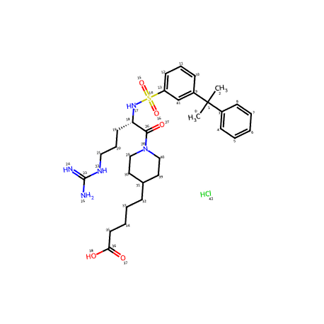 CC(C)(c1ccccc1)c1cccc(S(=O)(=O)N[C@@H](CCCNC(=N)N)C(=O)N2CCC(CCCCC(=O)O)CC2)c1.Cl